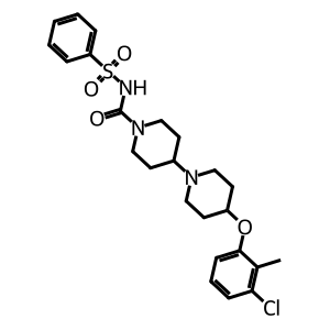 Cc1c(Cl)cccc1OC1CCN(C2CCN(C(=O)NS(=O)(=O)c3ccccc3)CC2)CC1